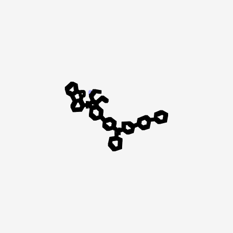 C=Cc1c(/C=C\C)n(-c2cccc3c2oc2ccccc23)c2ccc(-c3ccc(N(c4ccccc4)c4ccc(-c5ccc(-c6ccccc6)cc5)cc4)cc3)cc12